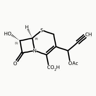 C#CC(OC(C)=O)C1=C(C(=O)O)N2C(=O)[C@H](O)[C@H]2SC1